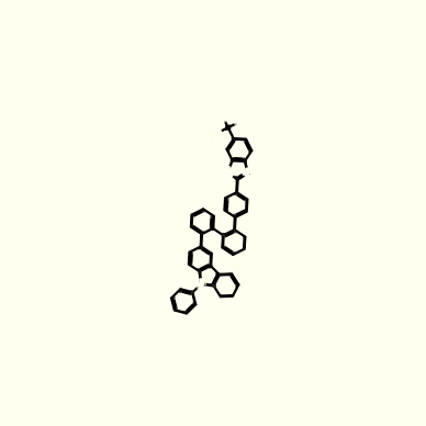 CC(C)(C)c1ccc2nc(-c3ccc(C4=C(c5ccccc5-c5ccc6c(c5)c5c(n6-c6ccccc6)CCC=C5)C=CCC4)cc3)oc2c1